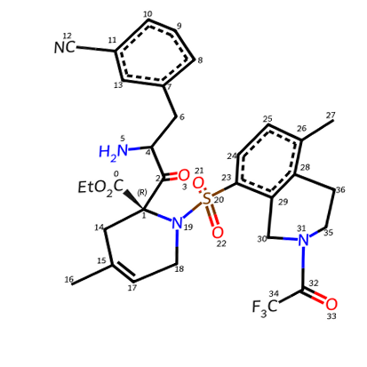 CCOC(=O)[C@]1(C(=O)C(N)Cc2cccc(C#N)c2)CC(C)=CCN1S(=O)(=O)c1ccc(C)c2c1CN(C(=O)C(F)(F)F)CC2